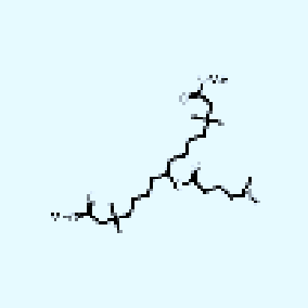 COC(=O)CC(C)(C)CCCCC(CCCCC(C)(C)CC(=O)OC)OC(=O)CCCN(C)C